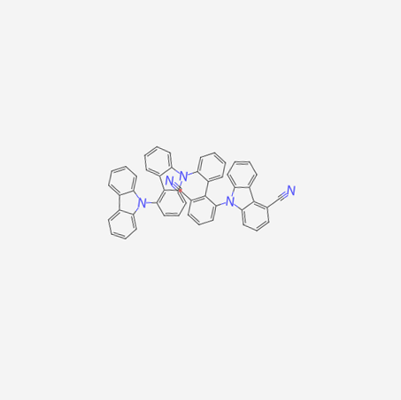 N#Cc1cccc(-n2c3ccccc3c3c(C#N)cccc32)c1-c1ccccc1-n1c2ccccc2c2c(-n3c4ccccc4c4ccccc43)cccc21